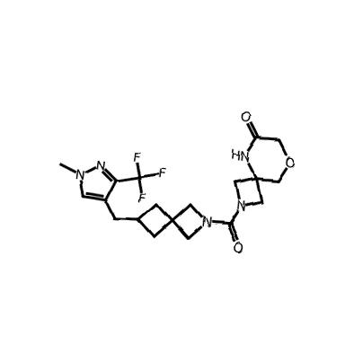 Cn1cc(CC2CC3(C2)CN(C(=O)N2CC4(COCC(=O)N4)C2)C3)c(C(F)(F)F)n1